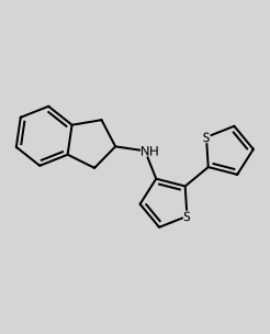 c1csc(-c2sccc2NC2Cc3ccccc3C2)c1